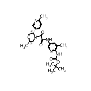 Cc1ccc([C@H]2CC[C@H](C)CN2C(=O)C(=O)Nc2cnc(NC(=O)OC(C)(C)C)c(C)c2)cn1